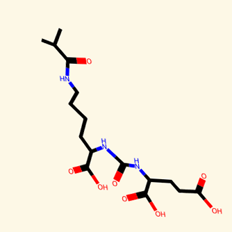 CC(C)C(=O)NCCCCC(NC(=O)NC(CCC(=O)O)C(=O)O)C(=O)O